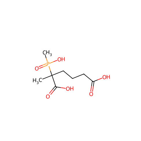 CC(CCCC(=O)O)(C(=O)O)P(C)(=O)O